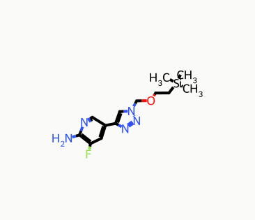 C[Si](C)(C)CCOCn1cc(-c2cnc(N)c(F)c2)nn1